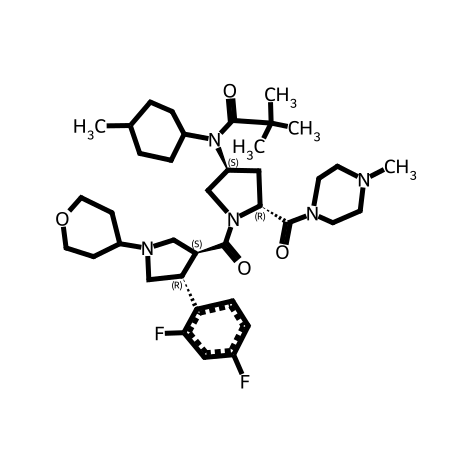 CC1CCC(N(C(=O)C(C)(C)C)[C@H]2C[C@H](C(=O)N3CCN(C)CC3)N(C(=O)[C@@H]3CN(C4CCOCC4)C[C@H]3c3ccc(F)cc3F)C2)CC1